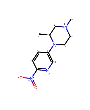 C[C@H]1CN(C)CCN1c1ccc([N+](=O)[O-])nc1